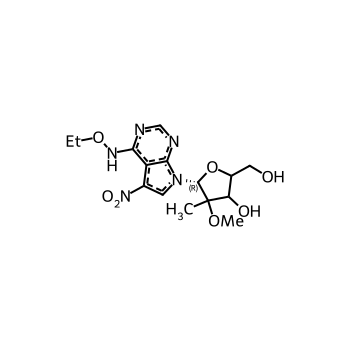 CCONc1ncnc2c1c([N+](=O)[O-])cn2[C@@H]1OC(CO)C(O)C1(C)OC